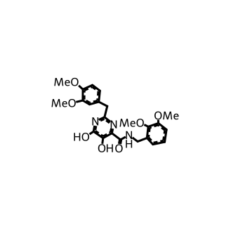 COc1ccc(Cc2nc(O)c(O)c(C(=O)NCc3cccc(OC)c3OC)n2)cc1OC